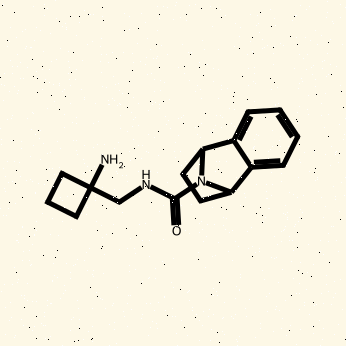 NC1(CNC(=O)N2C3CCC2c2ccccc23)CCC1